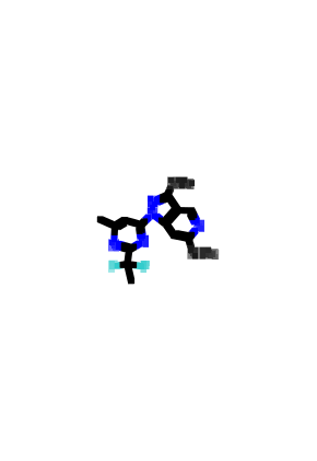 CNc1nn(-c2cc(C)nc(C(C)(F)F)n2)c2cc(NC(C)=O)ncc12